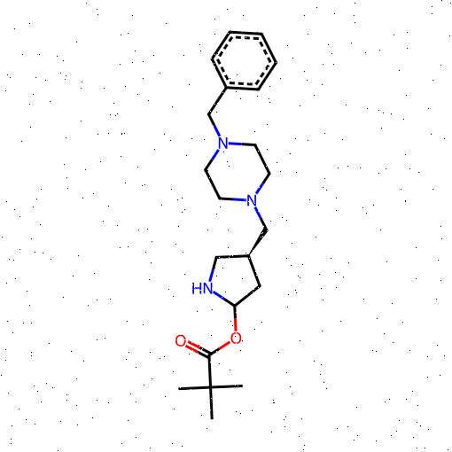 CC(C)(C)C(=O)OC1C[C@H](CN2CCN(Cc3ccccc3)CC2)CN1